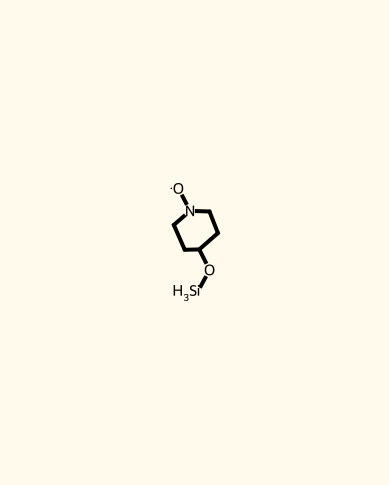 [O]N1CCC(O[SiH3])CC1